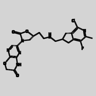 Cc1nc(Cl)c2c(c1F)CC(CNCCC1CN(c3cnc4c(n3)NC(=O)CO4)C(=O)O1)C2